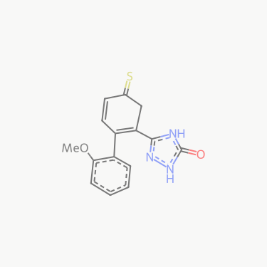 COc1ccccc1C1=C(c2n[nH]c(=O)[nH]2)CC(=S)C=C1